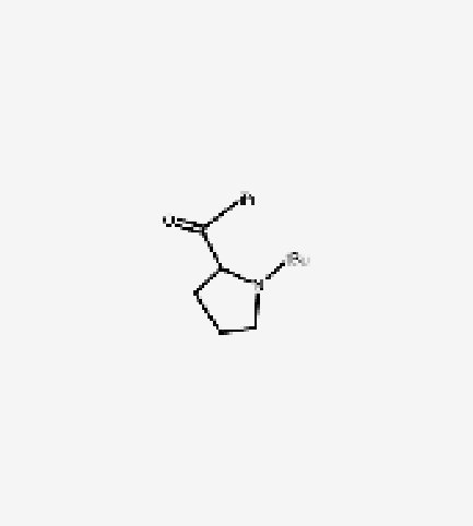 CC(C)C(=O)C1CCCN1C(C)(C)C